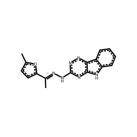 C/C(=N\Nc1nnc2c(n1)[nH]c1ccccc12)c1ccc(C)o1